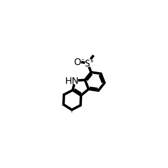 C[S+]([O-])c1cccc2c3c([nH]c12)CC[CH]C3